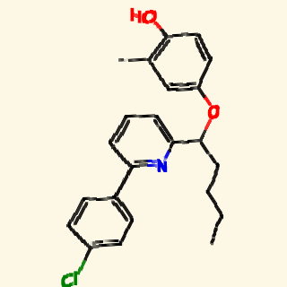 CCCCC(Oc1ccc(O)c(C)c1)c1cccc(-c2ccc(Cl)cc2)n1